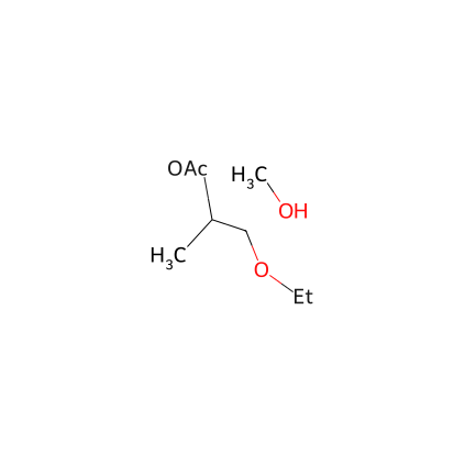 CCOCC(C)OC(C)=O.CO